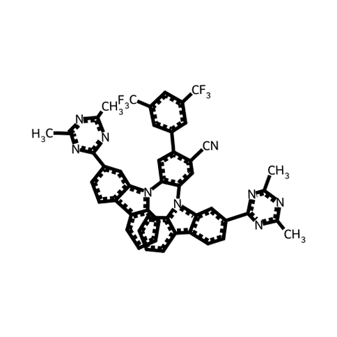 Cc1nc(C)nc(-c2ccc3c4ccccc4n(-c4cc(C#N)c(-c5cc(C(F)(F)F)cc(C(F)(F)F)c5)cc4-n4c5ccccc5c5ccc(-c6nc(C)nc(C)n6)cc54)c3c2)n1